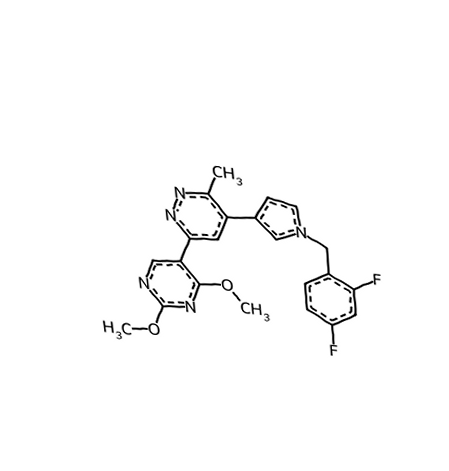 COc1ncc(-c2cc(-c3ccn(Cc4ccc(F)cc4F)c3)c(C)nn2)c(OC)n1